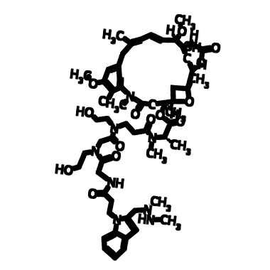 CNN(C)Cc1cc2ccccc2n1CCC(=O)NCC(=O)N(CCO)CC(=O)N(CCO)CCC(=O)N(C)[C@@H](C)C(=O)O[C@H]1CC(=O)N(C)c2cc(cc(OC)c2Cl)C/C(C)=C/C=C/[C@@H](OC)[C@@]2(O)C[C@H](OC(=O)N2)C2(C)C[C@@]1(C)O2